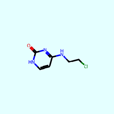 O=c1nc(NCCCl)cc[nH]1